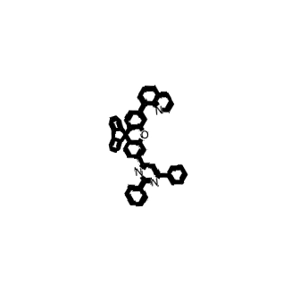 c1ccc(-c2cc(-c3ccc4c(c3)Oc3cc(-c5cccc6cccnc56)ccc3C43c4ccccc4-c4ccccc43)nc(-c3ccccc3)n2)cc1